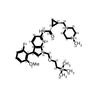 COc1cccc(F)c1-c1cn(COCC[Si](C)(C)C)c2nc(NC(=O)[C@@H]3C[C@H]3CN3CCN(C)CC3)ccc12